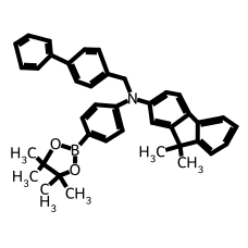 CC1(C)c2ccccc2-c2ccc(N(Cc3ccc(-c4ccccc4)cc3)c3ccc(B4OC(C)(C)C(C)(C)O4)cc3)cc21